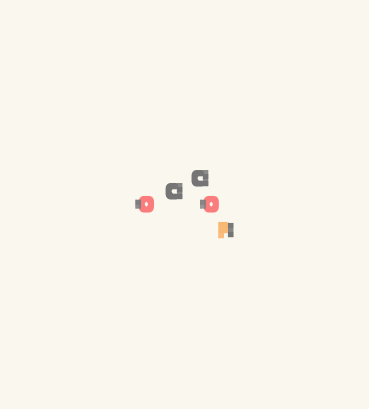 [C].[C].[O].[O].[P]